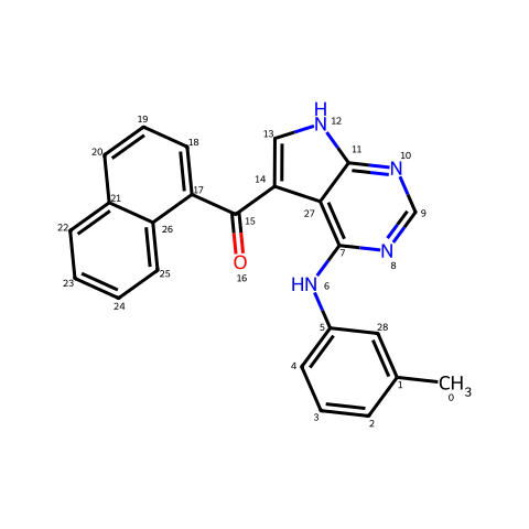 Cc1cccc(Nc2ncnc3[nH]cc(C(=O)c4cccc5ccccc45)c23)c1